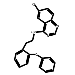 Clc1ccc2ncnc(NCCc3ccccc3Oc3ccccc3)c2c1